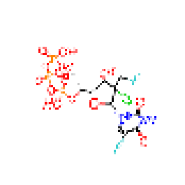 C[C@@H](OP(=O)(O)OP(=O)(O)OP(=O)(O)O)[C@H]1O[C@@H](n2cc(F)c(=O)[nH]c2=O)[C@@](Cl)(CF)C1O